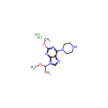 COc1nc(N2CCNCC2)c2ncn(C(C)OC)c2n1.Cl.Cl